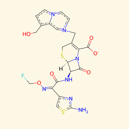 Nc1nc(/C(=N/OCF)C(=O)N[C@@H]2C(=O)N3C(C(=O)[O-])=C(Cn4cc[n+]5ccc(CO)c-5c4)CS[C@H]23)cs1